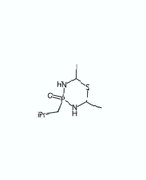 CC(C)CP1(=O)NC(C)SC(C)N1